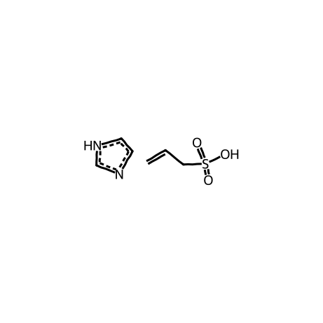 C=CCS(=O)(=O)O.c1c[nH]cn1